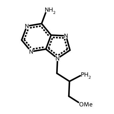 COCC(P)Cn1cnc2c(N)ncnc21